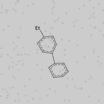 CCc1ccc(-c2ccccc2)cc1